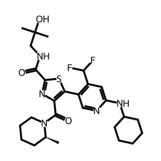 C[C@H]1CCCCN1C(=O)c1nc(C(=O)NCC(C)(C)O)sc1-c1cnc(NC2CCCCC2)cc1C(F)F